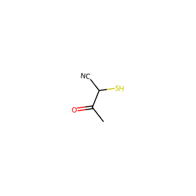 CC(=O)C(S)[13C]#N